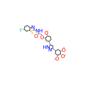 COc1ccc(-c2cc(-c3cc(OC)c(OC)c(OC)c3)n[nH]2)cc1OCC(=O)Nc1nc2ccc(F)cc2s1